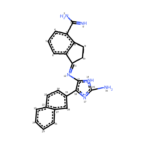 N=C(N)c1cccc2c1CCC2=Nc1[nH]c(N)nc1-c1ccc2ccccc2c1